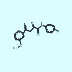 COc1cccc(C(=O)CC(=O)C(=O)Nc2ccc(F)cc2)c1